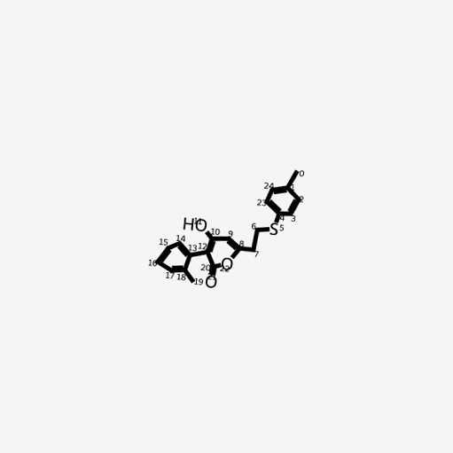 Cc1ccc(SCCc2cc(O)c(-c3ccccc3C)c(=O)o2)cc1